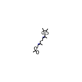 CC(=O)OC/C=C(\C)CC/C=C(\C)C1OC(C)C(C)O1